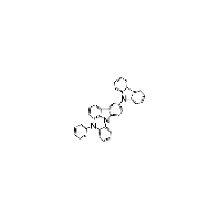 c1ccc(N2c3ccccc3-n3c4ccc(-n5c6ccccc6c6ccccc65)cc4c4cccc2c43)cc1